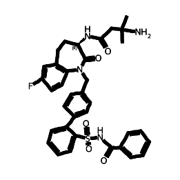 CC(C)(N)CC(=O)N[C@@H]1CCc2cc(F)ccc2N(Cc2ccc(-c3ccccc3S(=O)(=O)NC(=O)c3ccccc3)cc2)C1=O